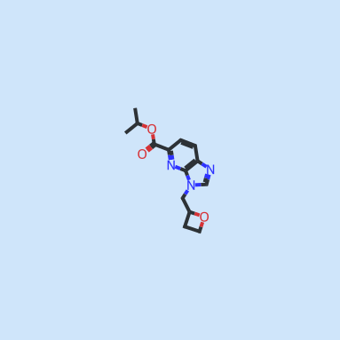 CC(C)OC(=O)c1ccc2ncn(CC3CCO3)c2n1